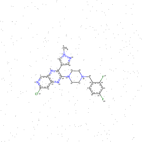 Cn1cc(-c2nc3cnc(Cl)cc3nc2N2CCN(Cc3ccc(F)cc3F)CC2)cn1